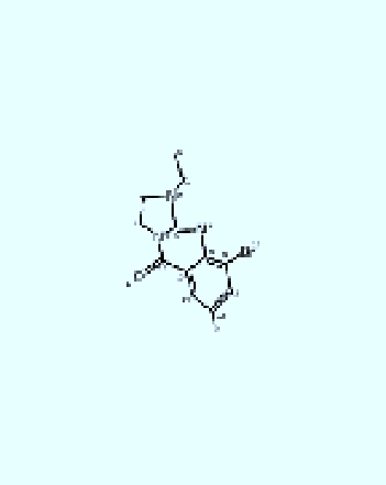 CCN1CCn2c1nc1c(Br)cc(C)cc1c2=O